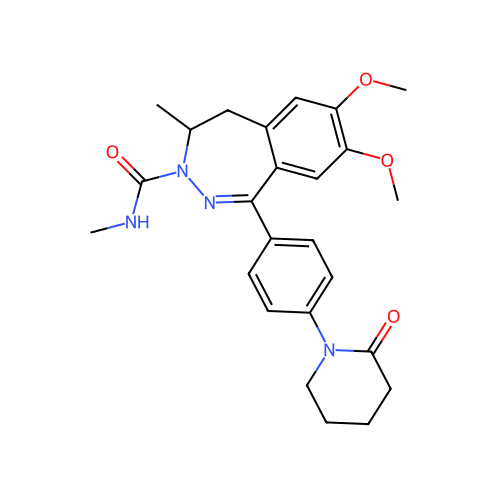 CNC(=O)N1N=C(c2ccc(N3CCCCC3=O)cc2)c2cc(OC)c(OC)cc2CC1C